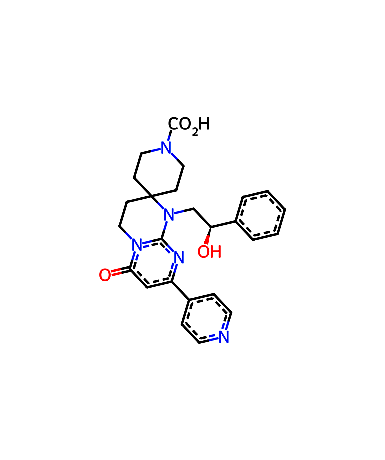 O=C(O)N1CCC2(CC1)CCn1c(nc(-c3ccncc3)cc1=O)N2C[C@H](O)c1ccccc1